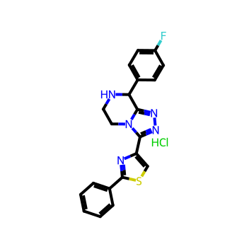 Cl.Fc1ccc(C2NCCn3c(-c4csc(-c5ccccc5)n4)nnc32)cc1